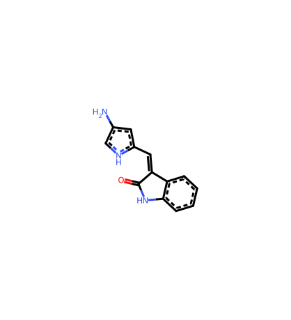 Nc1c[nH]c(C=C2C(=O)Nc3ccccc32)c1